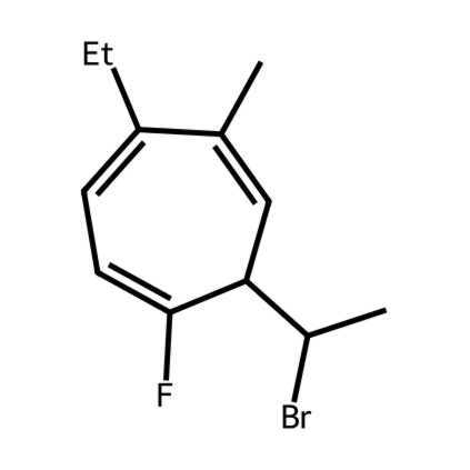 CCC1=CC=C(F)C(C(C)Br)C=C1C